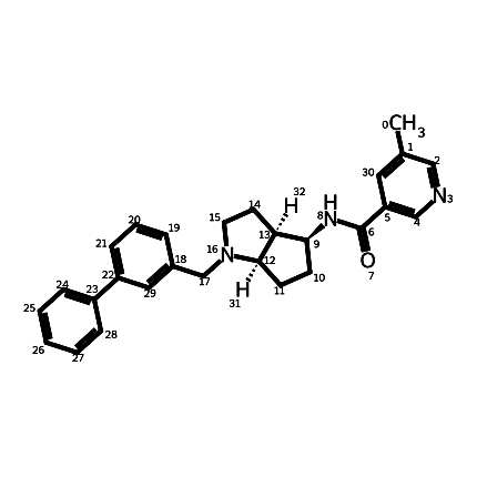 Cc1cncc(C(=O)N[C@H]2CC[C@@H]3[C@H]2CCN3Cc2cccc(-c3ccccc3)c2)c1